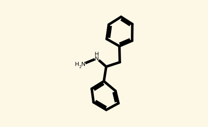 NNC(Cc1ccccc1)c1ccccc1